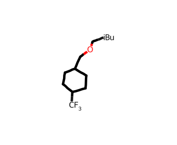 CCC(C)COCC1CCC(C(F)(F)F)CC1